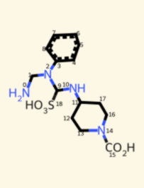 NCN(c1ccccc1)C(NC1CCN(C(=O)O)CC1)S(=O)(=O)O